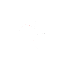 CCOC(C)C(CO)OCC